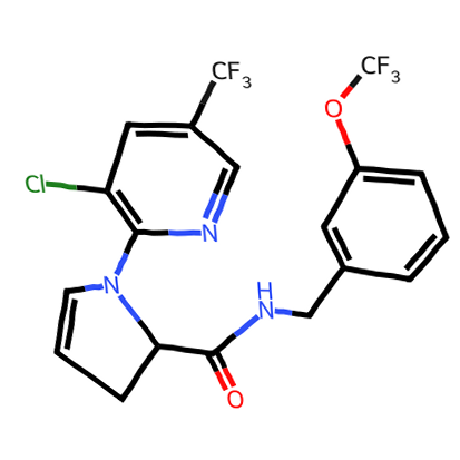 O=C(NCc1cccc(OC(F)(F)F)c1)C1CC=CN1c1ncc(C(F)(F)F)cc1Cl